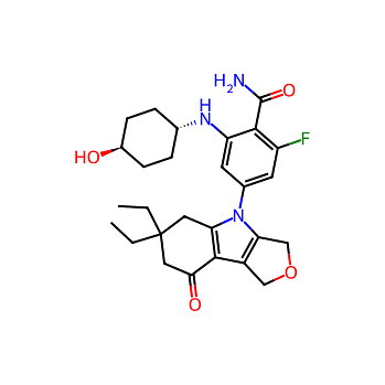 CCC1(CC)CC(=O)c2c3c(n(-c4cc(F)c(C(N)=O)c(N[C@H]5CC[C@H](O)CC5)c4)c2C1)COC3